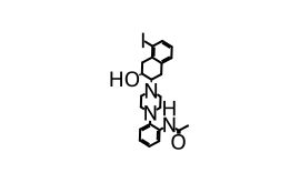 CC(=O)Nc1ccccc1N1CCN([C@H]2Cc3cccc(I)c3C[C@H]2O)CC1